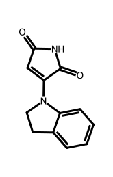 O=C1C=C(N2CCc3ccccc32)C(=O)N1